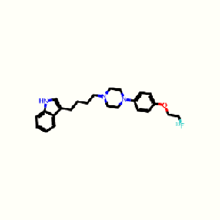 [18F]CCOc1ccc(N2CCN(CCCCc3c[nH]c4ccccc34)CC2)cc1